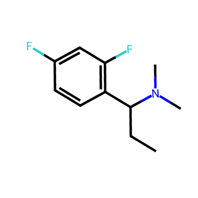 CCC(c1ccc(F)cc1F)N(C)C